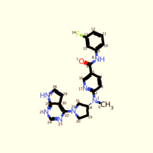 CN(c1ccc(C(=O)Nc2cccc(F)c2)cn1)[C@@H]1CCN(c2ncnc3[nH]ccc23)C1